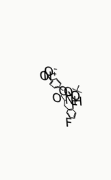 CC(C)(C)OC(=O)NC(Cc1cc(F)ccc1F)C(=O)Oc1ccc([N+](=O)[O-])cc1